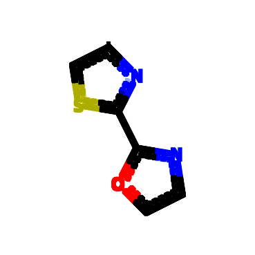 [c]1csc(-c2ncco2)n1